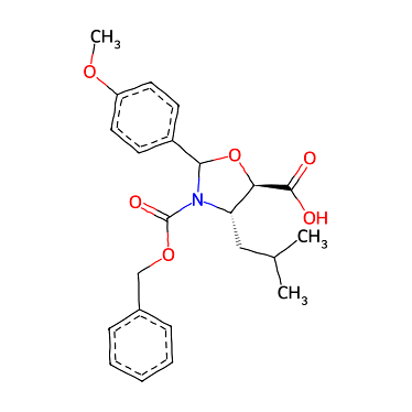 COc1ccc(C2O[C@@H](C(=O)O)[C@H](CC(C)C)N2C(=O)OCc2ccccc2)cc1